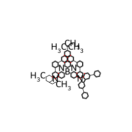 CC1CC2CC(C)N(c3ccc4c(c3)N(c3c(-c5ccccc5)cccc3-c3ccccc3)c3cc(-c5ccc(C(C)(C)C)cc5)cc5c3B4c3ccc(-n4c6ccc(-c7ccccc7)cc6c6cc(-c7ccccc7)ccc64)cc3N5c3c(-c4ccccc4)cccc3-c3ccccc3)C(C1)C2